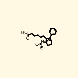 O=C(O)CCCC=CC1C(c2ccccc2)C2CCC1(N=S(=O)=O)C2